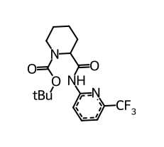 CC(C)(C)OC(=O)N1CCCCC1C(=O)Nc1cccc(C(F)(F)F)n1